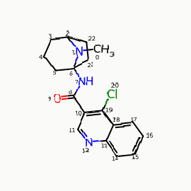 CN1C2CCCC1(NC(=O)c1cnc3ccccc3c1Cl)CC2